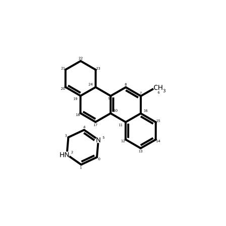 C1=CNCC=N1.Cc1cc2c(c3ccccc13)C=CC1=CCCCC12